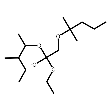 CCCC(C)(C)OCC([O])(OCC)OC(C)C(C)CC